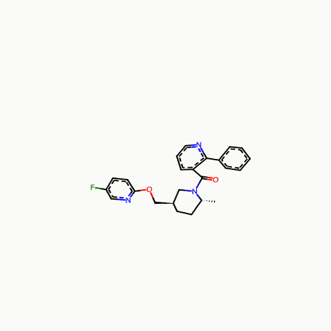 C[C@@H]1CC[C@@H](COc2ccc(F)cn2)CN1C(=O)c1cccnc1-c1ccccc1